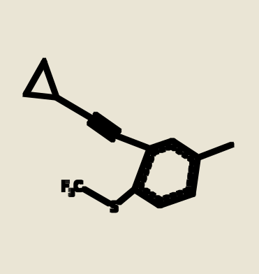 Cc1ccc(SC(F)(F)F)c(C#CC2CC2)c1